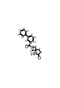 O=C1CCC2(CN(C(=O)c3cccc(-c4ccccc4)c3)C2)N1